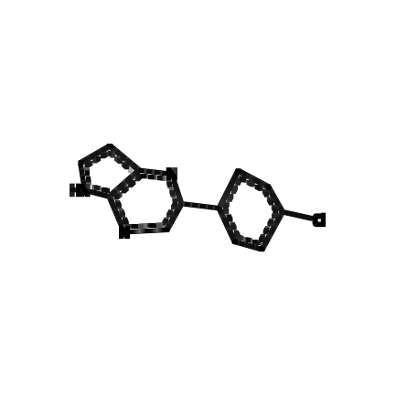 Clc1ccc(-c2cnc3[nH]ccc3n2)cc1